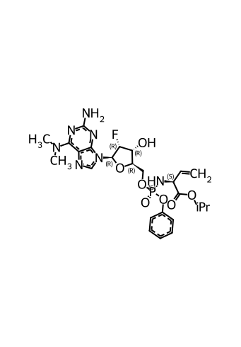 C=C[C@H](N[P@](=O)(OC[C@H]1O[C@@H](n2cnc3c(N(C)C)nc(N)nc32)[C@H](F)[C@@H]1O)Oc1ccccc1)C(=O)OC(C)C